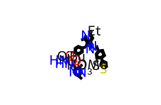 CCc1cc2c(c(C)n1)c(-c1ccccc1)nn2Cc1ccc(-c2ccsc2S(=O)(=O)O)cc1.COc1nc(C)cnc1C(=O)NC(=O)NOCC(C)C